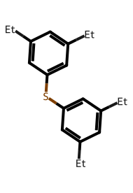 CCc1cc(CC)cc(Sc2cc(CC)cc(CC)c2)c1